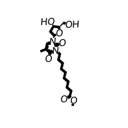 COC(=O)CCCCCCCCCn1c(=O)c(C)cn([C@H]2C[C@H](O)[C@@H](CO)O2)c1=O